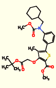 COC(=O)c1sc(-c2cccc(N(CC3CCCCC3)C(=O)OC)c2)c(C)c1OCC(=O)OC(C)(C)C